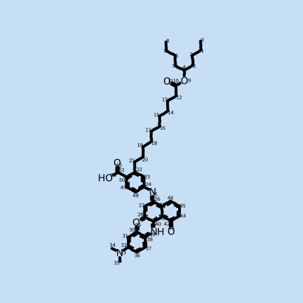 CCCCC(CCCC)OC(=O)CCCCCCCCCCc1cc(N=c2cc3oc4cc(N(C)C)ccc4[nH]c-3c3c(=O)cccc2-3)ccc1C(=O)O